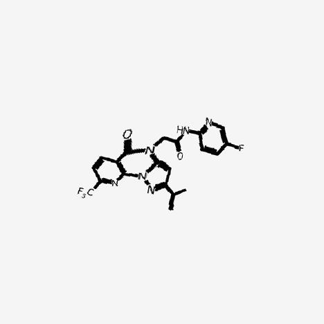 C=C(C)c1cc2n(CC(=O)Nc3ccc(F)cn3)c(=O)c3ccc(C(F)(F)F)nc3n2n1